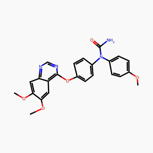 COc1ccc(N(C(N)=O)c2ccc(Oc3ncnc4cc(OC)c(OC)cc34)cc2)cc1